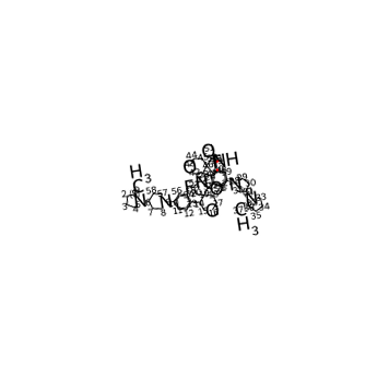 C[C@H]1CCCN1C1CCN(c2ccc(C3COCCC34CCN(C3(c5ccc(N6CC[C@H](N7CCC[C@@H]7C)C6)cc5F)COCCC35CCNC5=O)C4=O)c(F)c2)CC1